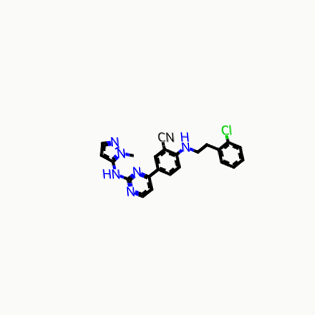 Cn1nccc1Nc1nccc(-c2ccc(NCCc3ccccc3Cl)c(C#N)c2)n1